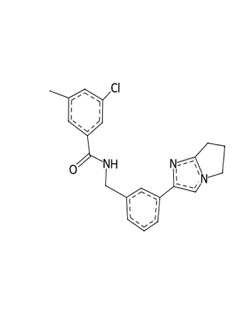 Cc1cc(Cl)cc(C(=O)NCc2cccc(-c3cn4c(n3)CCC4)c2)c1